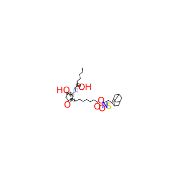 CCCCC[C@H](O)/C=C/[C@H]1[C@H](O)CC(=O)[C@@H]1CCCCCCC(=O)OCCC1(SN=O)C2CC3CC(C2)CC1C3